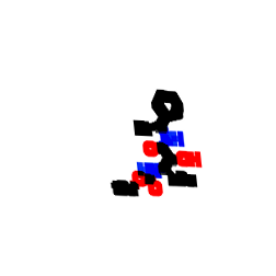 CCCC[C@H](NC(=O)OC(C)(C)C)[C@H](O)C(=O)N[C@@H](CC)c1ccccc1